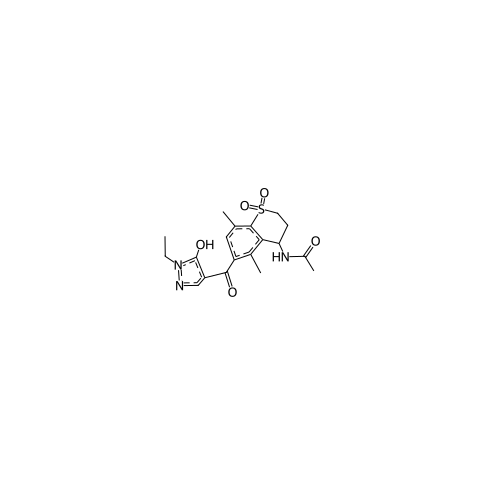 CCn1ncc(C(=O)c2cc(C)c3c(c2C)C(NC(C)=O)CCS3(=O)=O)c1O